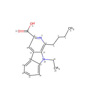 CCCCc1nc(C(=O)O)cc2c3ccccc3n(CC)c12